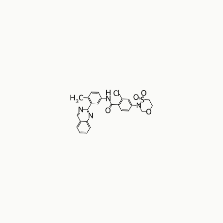 Cc1ccc(NC(=O)c2ccc(N3COCCS3(=O)=O)cc2Cl)cc1-c1ncc2ccccc2n1